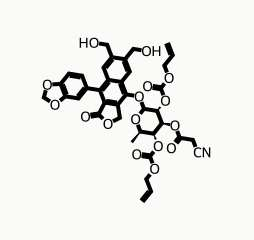 C=CCOC(=O)O[C@H]1[C@H](OC(=O)CC#N)[C@@H](OC(=O)OCC=C)C(Oc2c3c(c(-c4ccc5c(c4)OCO5)c4cc(CO)c(CO)cc24)C(=O)OC3)O[C@@H]1C